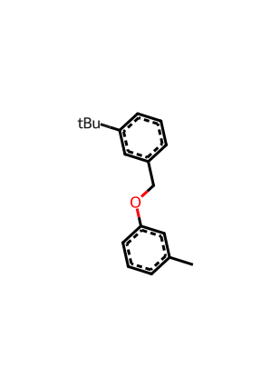 Cc1cccc(OCc2cccc(C(C)(C)C)c2)c1